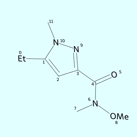 CCc1cc(C(=O)N(C)OC)nn1C